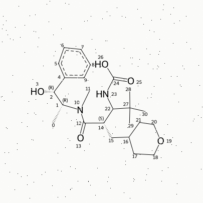 C[C@H]([C@H](O)c1ccccc1)N(C)C(=O)[C@@H](CC1CCOCC1)C(NC(=O)O)C(C)(C)C